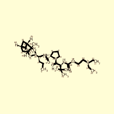 CCC[C@H](NC(=O)[C@@H]1CCCN1C(=O)[C@@H](NC(=O)OCCN(CC)CC)C(C)(C)C)B1O[C@@H]2C[C@@H]3C[C@@H](C3(C)C)[C@]2(C)O1